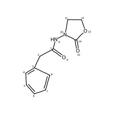 O=C(Cc1ccccc1)NN1CCOC1=O